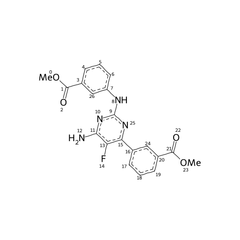 COC(=O)c1cccc(Nc2nc(N)c(F)c(-c3cccc(C(=O)OC)c3)n2)c1